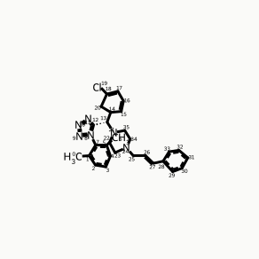 Cc1cccc(C)c1-n1nnnc1[C@H](C1C=CC=C(Cl)C1)N1CCN(C/C=C/c2ccccc2)CC1